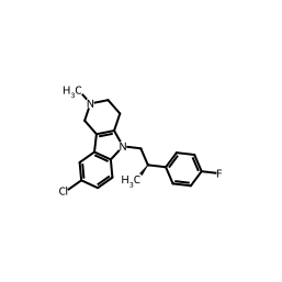 C[C@@H](Cn1c2c(c3cc(Cl)ccc31)CN(C)CC2)c1ccc(F)cc1